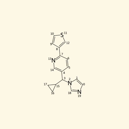 c1cn(C(c2ccc(-c3ccsc3)nc2)C2CC2)cn1